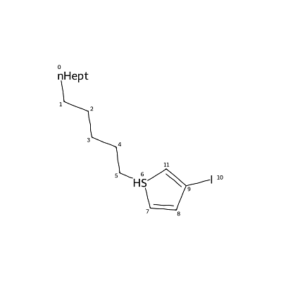 CCCCCCCCCCCC[SH]1C=CC(I)=C1